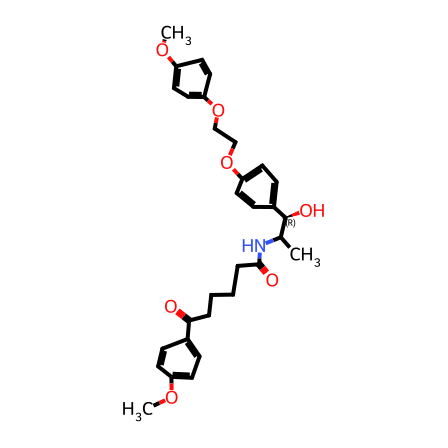 COc1ccc(OCCOc2ccc([C@@H](O)C(C)NC(=O)CCCCC(=O)c3ccc(OC)cc3)cc2)cc1